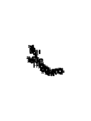 CC(C)(C)OC(=O)NCCCC[C@H](NC(=O)OC(C)(C)C)C(=O)O[C@H]1CC[C@@]2(C)C(=CCC3C2CC[C@@]2(C)C3CC[C@@H]2c2cn(Cc3ccccc3)nn2)C1